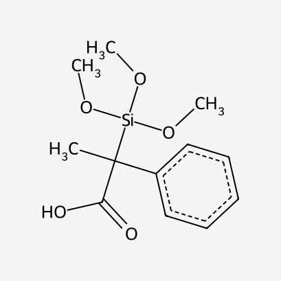 CO[Si](OC)(OC)C(C)(C(=O)O)c1ccccc1